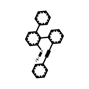 S=C=Nc1cccc(-c2ccccc2)c1-c1ccccc1C#Cc1ccccc1